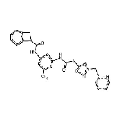 O=C([N-]c1c[n+](Cc2ccccn2)no1)Nc1cc(NC(=O)C2Cc3ccccc32)cc(C(F)(F)F)c1